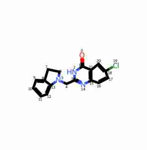 O=c1[nH]c(CN2CCc3ccccc32)nc2ccc(Cl)cc12